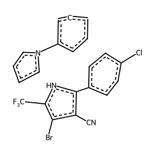 N#Cc1c(-c2ccc(Cl)cc2)[nH]c(C(F)(F)F)c1Br.c1ccc(-n2cccc2)cc1